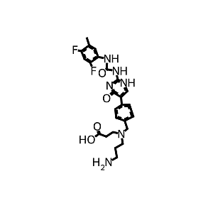 Cc1cc(NC(=O)Nc2nc(=O)c(-c3ccc(CN(CCCN)CCC(=O)O)cc3)c[nH]2)c(F)cc1F